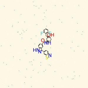 O=C(N[C@@H]1CCC[C@](O)(Cc2c(F)cccc2F)C1)c1ccc2[nH]nc(-c3ccc4ncsc4c3)c2c1